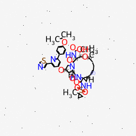 CC[C@@H]1O[C@H](C)CC/C=C\[C@@H]2CC2(C(=O)NS(=O)(=O)C2(C)CC2)NC(=O)[C@@H]2C[C@@H](Oc3cc(-c4ccc(OC(C)C)cc4)nc(-c4cncs4)c3)CN2C(=O)[C@H]1NC(=O)O